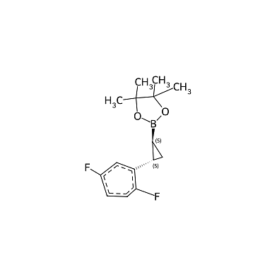 CC1(C)OB([C@H]2C[C@@H]2c2cc(F)ccc2F)OC1(C)C